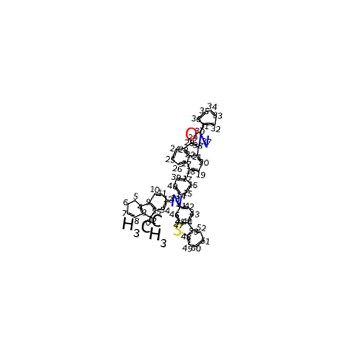 CC1(C)C2=C(CCC=C2)c2ccc(N(c3ccc(-c4ccc5c6c(cccc46)-c4oc(-c6ccccc6)nc4-5)cc3)c3ccc4c(c3)sc3ccccc34)cc21